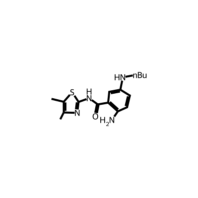 CCCCNc1ccc(N)c(C(=O)Nc2nc(C)c(C)s2)c1